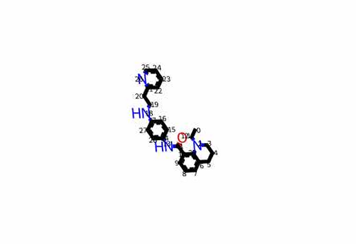 CCN1CCCc2cccc(C(=O)Nc3ccc(NCCc4ccccn4)cc3)c21